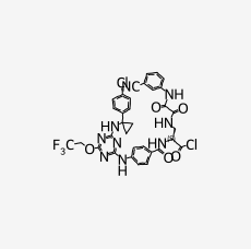 N#Cc1cccc(NC(=O)C(=O)NC[C@H](NC(=O)c2ccc(Nc3nc(NC4(c5ccc(Cl)cc5)CC4)nc(OCC(F)(F)F)n3)cc2)C(=O)Cl)c1